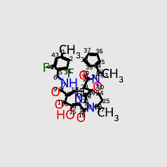 Cc1cc(F)c(CNC(=O)c2cn3c(c(O)c2=O)C(=O)N2C[C@@H]3[C@]3(CC[C@@H]2C)CC(=O)N([C@H](C)c2ccccc2)O3)c(F)c1